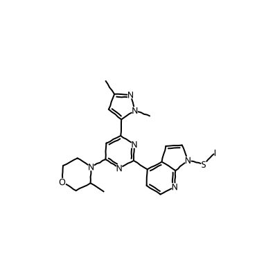 Cc1cc(-c2cc(N3CCOCC3C)nc(-c3ccnc4c3ccn4SI)n2)n(C)n1